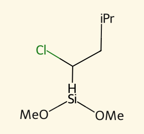 CO[SiH](OC)C(Cl)CC(C)C